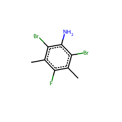 Cc1c(F)c(C)c(Br)c(N)c1Br